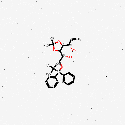 C=C[C@H](O)[C@@H]1OC(C)(C)OC1[C@H](O)CO[Si](c1ccccc1)(c1ccccc1)C(C)(C)C